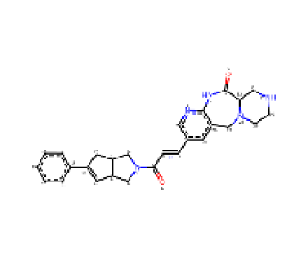 O=C1Nc2ncc(/C=C/C(=O)N3CC4C=C(c5ccccc5)CC4C3)cc2CN2CCNCC12